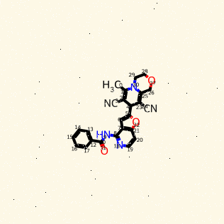 CC1=C(C#N)C(c2cc3c(NC(=O)c4ccccc4)nccc3o2)C(C#N)=C2COCCN12